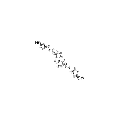 Cc1c(OCCCN2CC[C@@H](O)C2)cccc1-c1cccc(OCCCN2CC[C@@H](O)C2)c1C